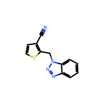 N#Cc1ccsc1Cn1nnc2ccccc21